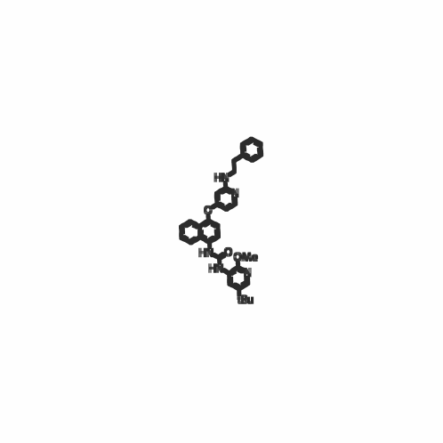 COc1ncc(C(C)(C)C)cc1NC(=O)Nc1ccc(Oc2ccnc(NCCc3ccccc3)c2)c2ccccc12